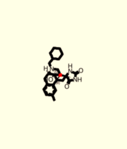 Cc1ccc2c(c1)[C@]13CCN(CC4CCCCC4)[C@H](C2)[C@]1(O)CC[C@@]1(C3)NC(=O)NC1=O